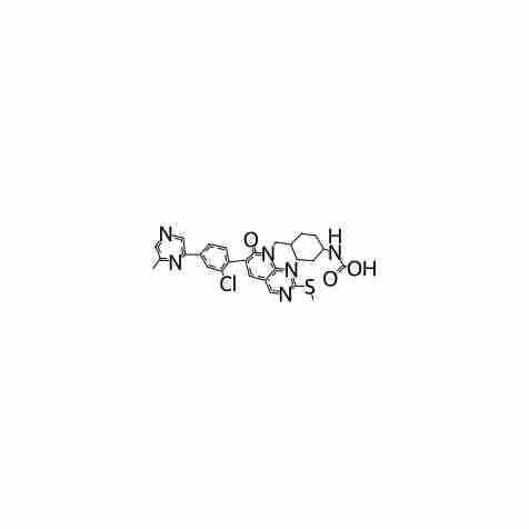 CSc1ncc2cc(-c3ccc(-c4cncc(C)n4)cc3Cl)c(=O)n(CC3CCC(NC(=O)O)CC3)c2n1